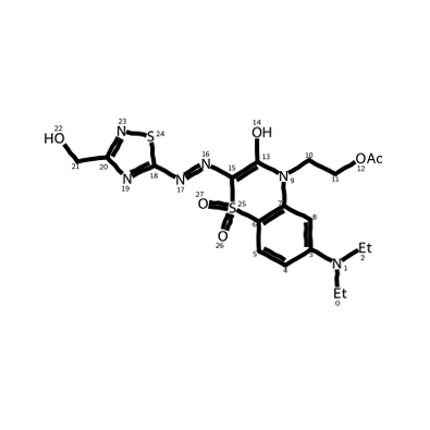 CCN(CC)c1ccc2c(c1)N(CCOC(C)=O)C(O)=C(N=Nc1nc(CO)ns1)S2(=O)=O